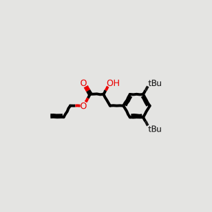 C=CCOC(=O)C(O)Cc1cc(C(C)(C)C)cc(C(C)(C)C)c1